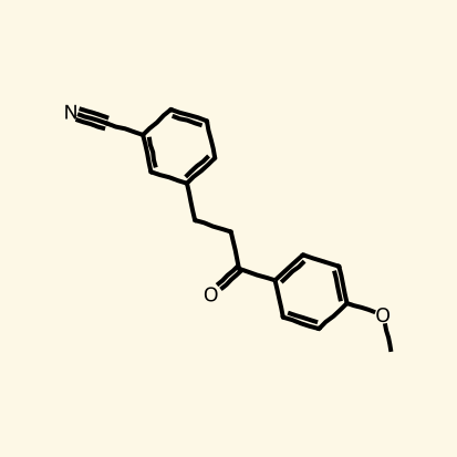 COc1ccc(C(=O)CCc2cccc(C#N)c2)cc1